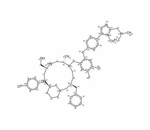 C[C@H]1CN[C@H](CO)CN[C@@]2(Cc3ccc(Cl)cc3)CCCN(C[C@H](Cc3ccccc3)CCN1Cc1cc(F)c(Cl)cc1Oc1ccc(-c3cnc(CN(C)C)n3C)cc1)C2